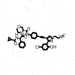 [C-]#[N+]CCn1cc(C#Cc2ccc(NC(=O)[C@@H]3COCCN3C(=O)[C@H](NC(=O)C3CC3)c3ccccc3)cc2)c(-c2cc(Cl)ccc2O)n1